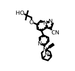 C#CCN1C2CC1CN(c1ccc(-c3cc(OCC(C)(C)O)cn4ncc(C#N)c34)cn1)C2